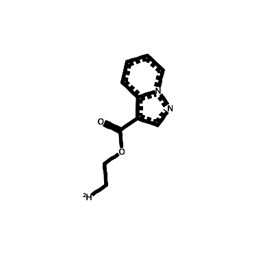 [2H]CCOC(=O)c1cnn2ccccc12